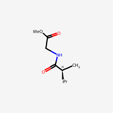 COC(=O)CNC(=O)[C@@H](C)C(C)C